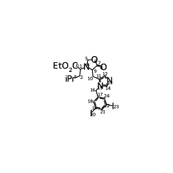 CCOC(=O)C(CC(C)C)N1COC(=O)C1Cc1cncn1Cc1cc(I)cc(I)c1